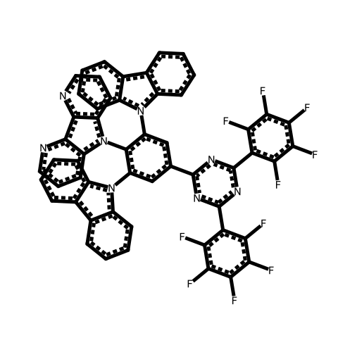 Fc1c(F)c(F)c(-c2nc(-c3cc(-n4c5ccccc5c5ccccc54)c(-n4c5cccnc5c5ncccc54)c(-n4c5ccccc5c5ccccc54)c3)nc(-c3c(F)c(F)c(F)c(F)c3F)n2)c(F)c1F